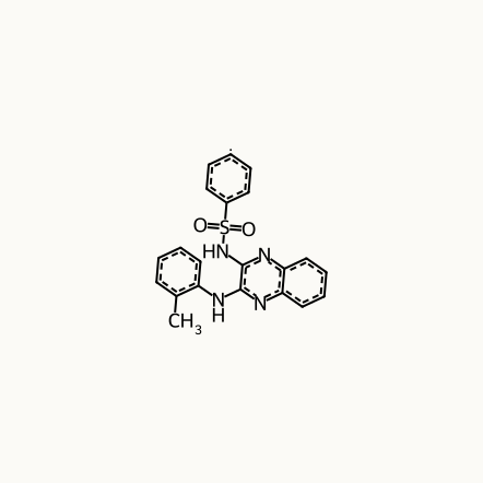 Cc1ccccc1Nc1nc2ccccc2nc1NS(=O)(=O)c1cc[c]cc1